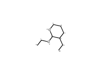 CCOC1OCCCC1CC